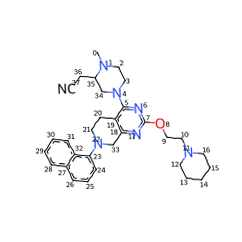 CN1CCN(c2nc(OCCN3CCCCC3)nc3c2CCN(c2cccc4ccccc24)C3)CC1CC#N